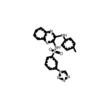 Cc1ccc(Nc2nc3ccccc3nc2NS(=O)(=O)c2cccc(-n3cnnn3)c2)cc1